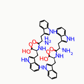 N[C@@H](Cc1c[nH]c2ccccc12)C(=O)N[C@@H](Cc1c[nH]c2ccccc12)C(=O)O.N[C@@H](Cc1c[nH]c2ccccc12)C(=O)N[C@@H](Cc1c[nH]c2ccccc12)C(=O)O